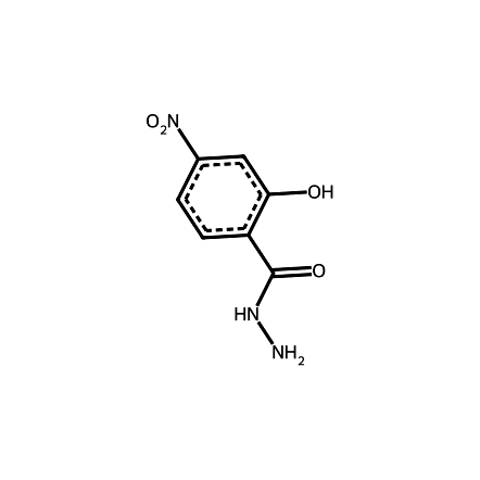 NNC(=O)c1ccc([N+](=O)[O-])cc1O